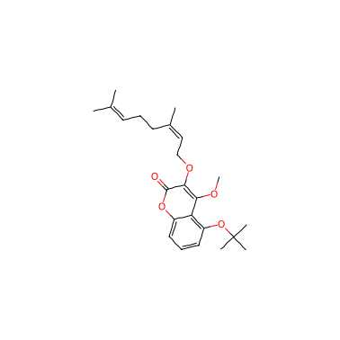 COc1c(OCC=C(C)CCC=C(C)C)c(=O)oc2cccc(OC(C)(C)C)c12